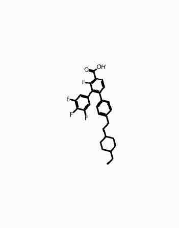 CCC1CCC(CCc2ccc(-c3ccc(C(=O)O)c(F)c3-c3cc(F)c(F)c(F)c3)cc2)CC1